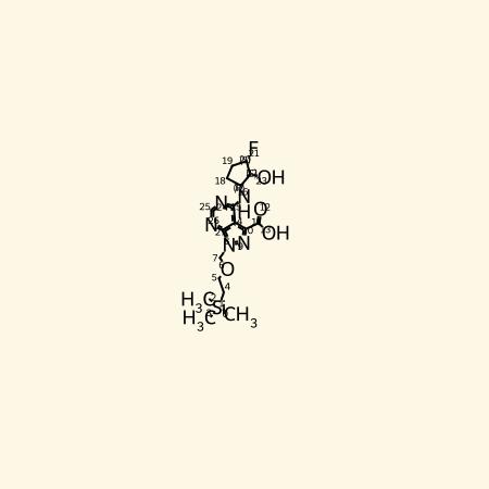 C[Si](C)(C)CCOCn1nc(C(=O)O)c2c(N[C@@H]3CC[C@H](F)[C@H]3O)ncnc21